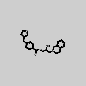 O=C(NCC(O)CN1CCc2ccccc2C1)c1ccc(CC2CCOC2)cc1